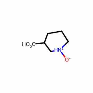 O=C(O)C1CCC[NH+]([O-])C1